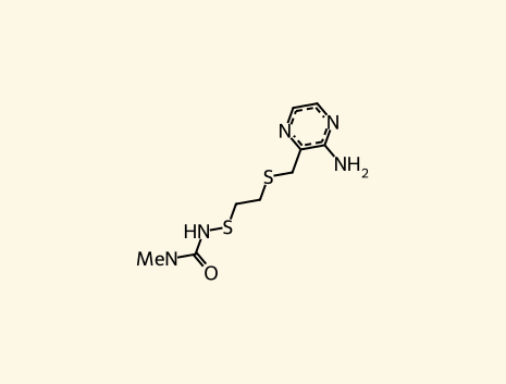 CNC(=O)NSCCSCc1nccnc1N